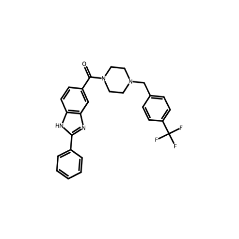 O=C(c1ccc2[nH]c(-c3ccccc3)nc2c1)N1CCN(Cc2ccc(C(F)(F)F)cc2)CC1